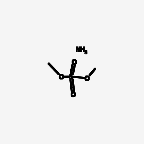 COS(=O)(=O)OC.N